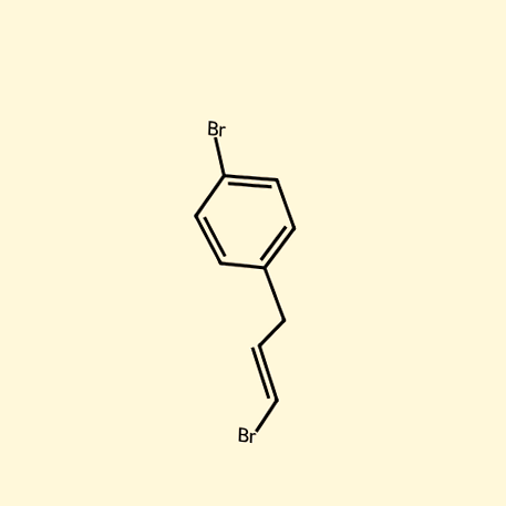 BrC=CCc1ccc(Br)cc1